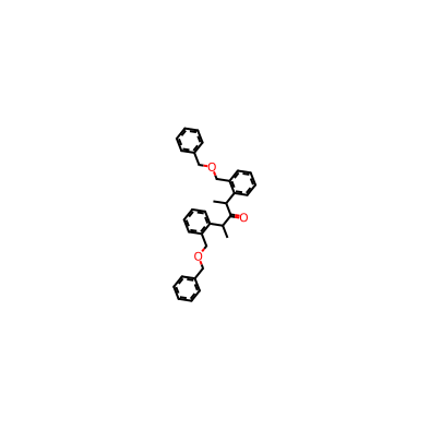 CC(C(=O)C(C)c1ccccc1COCc1ccccc1)c1ccccc1COCc1ccccc1